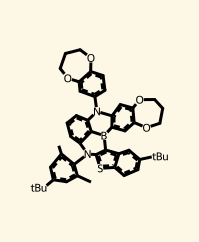 Cc1cc(C(C)(C)C)cc(C)c1N1c2cccc3c2B(c2cc4c(cc2N3c2ccc3c(c2)OCCCO3)OCCCO4)c2c1sc1ccc(C(C)(C)C)cc21